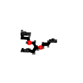 CCCCC=CO[C@H](COCCCCCCCCCCCC)COC(C)=O